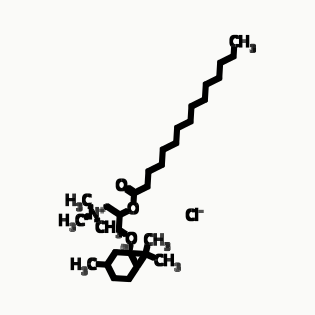 CCCCCCCCCCCCCCC(=O)OC(CO[C@]12CC(C)CCC1C2(C)C)C[N+](C)(C)C.[Cl-]